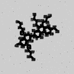 CCCCOc1cc(-c2ccc3c(c2)c(CCCC)c(CCCC)c2cc(CC)ccc23)cc2c(OCCCC)cc(C)cc12